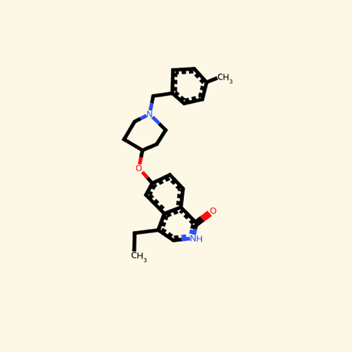 CCc1c[nH]c(=O)c2ccc(OC3CCN(Cc4ccc(C)cc4)CC3)cc12